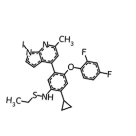 CCSNc1cc(-c2cc(C)nc3c2ccn3I)c(Oc2ccc(F)cc2F)cc1C1CC1